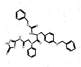 O=C(CN(C(=O)[C@H](Cc1ccc(OCc2ccccc2)cc1)NC(=O)OCc1ccccc1)c1ccccc1)Nc1n[nH]c(=S)s1